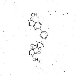 CN1CC[C@@](O)(c2cc(-c3cccc(-c4ccc5c(cnn5C)n4)c3)no2)C1=O